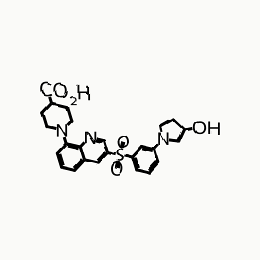 O=C(O)C1CCN(c2cccc3cc(S(=O)(=O)c4cccc(N5CCC(O)C5)c4)cnc23)CC1